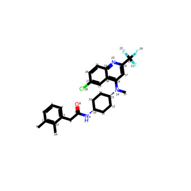 Cc1cccc(CC(=O)N[C@H]2CC[C@@H](N(C)c3cc(C(F)(F)F)nc4ccc(Cl)cc34)CC2)c1C